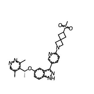 Cc1cnnc(C)c1[C@@H](C)Oc1ccc2[nH]nc(-c3ccc(N4CC5(CC(S(C)(=O)=O)C5)C4)nc3)c2c1